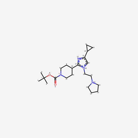 CC(C)(C)OC(=O)N1CCC(c2nc(C3CC3)cn2CCN2CCCC2)CC1